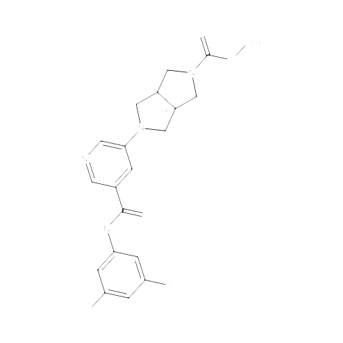 CC(C)(C)OC(=O)N1C[C@@H]2CN(c3cncc(C(=O)Nc4cc(F)cc(F)c4)c3)C[C@@H]2C1